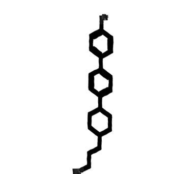 CCCc1ccc(-c2ccc(C3CCC(CCCC#N)CC3)cc2)cc1